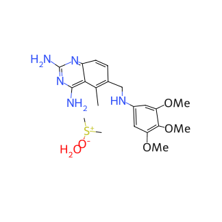 COc1cc(NCc2ccc3nc(N)nc(N)c3c2C)cc(OC)c1OC.C[S+](C)[O-].O